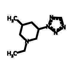 CCN1CC(C)CC(n2ncnn2)C1